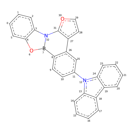 c1ccc2c(c1)OB1c3ccc(-n4c5ccccc5c5ccccc54)cc3-c3ccoc3N12